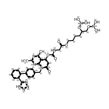 Cc1nc(C)c2c(OC(=O)NCC(=O)OCCCCC(CON(O)O)ON(O)O)cc(=O)n(Cc3ccc(-c4ccccc4-c4nnn[nH]4)cc3)c2n1